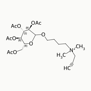 C#CC[N+](C)(C)CCCCOC1O[C@H](COC(C)=O)[C@@H](OC(C)=O)[C@H](OC(C)=O)[C@H]1OC(C)=O